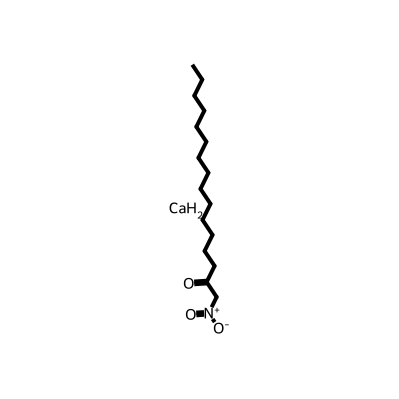 CCCCCCCCCCCCCCC(=O)C[N+](=O)[O-].[CaH2]